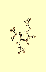 CC(C(=O)OCC1CO1)=C(CC1CO1)NC(=O)O